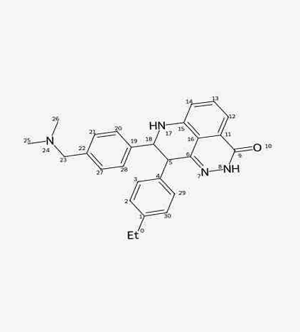 CCc1ccc(C2c3n[nH]c(=O)c4cccc(c34)NC2c2ccc(CN(C)C)cc2)cc1